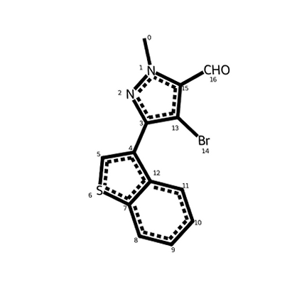 Cn1nc(-c2csc3ccccc23)c(Br)c1C=O